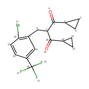 O=C(C1CC1)C(Cc1cc(C(F)(F)F)ccc1Br)C(=O)C1CC1